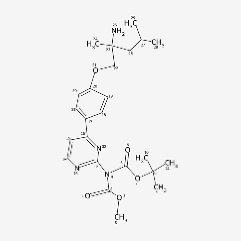 COC(=O)N(C(=O)OC(C)(C)C)c1nccc(-c2ccc(OCC(C)(N)CC(C)C)cc2)n1